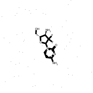 Nc1ccn(C2O[C@H](CO)[C@@H](N)C2(F)F)c(=O)n1